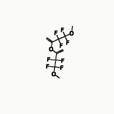 C=C(OC(=C)C(F)(F)C(F)(F)OC)C(F)(F)C(F)(F)OC